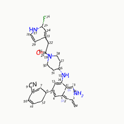 C=C/C=c1/cc(C2C=C(C#N)C=CC2)cc(NC2CCN(C(=O)CC3=CC(F)NC=C3)CC2)/c1=C/N